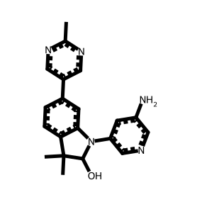 Cc1ncc(-c2ccc3c(c2)N(c2cncc(N)c2)C(O)C3(C)C)cn1